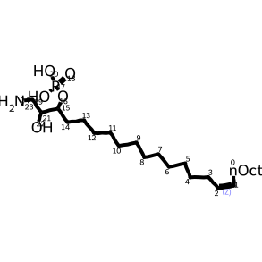 CCCCCCCC/C=C\CCCCCCCCCCCCC(OP(=O)(O)O)C(O)CN